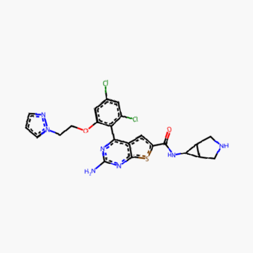 Nc1nc(-c2c(Cl)cc(Cl)cc2OCCn2cccn2)c2cc(C(=O)NC3C4CNCC43)sc2n1